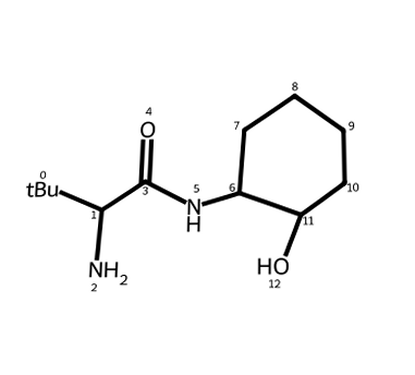 CC(C)(C)C(N)C(=O)NC1CCCCC1O